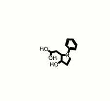 OC(O)CC1C(O)CCN1c1ccccc1